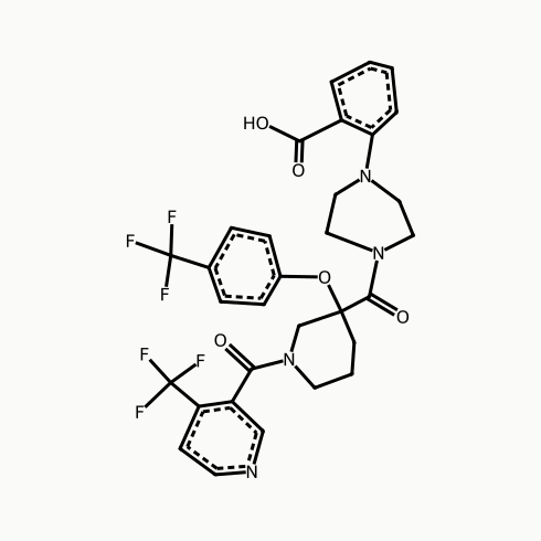 O=C(O)c1ccccc1N1CCN(C(=O)C2(Oc3ccc(C(F)(F)F)cc3)CCCN(C(=O)c3cnccc3C(F)(F)F)C2)CC1